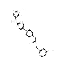 Cc1ccnc(CNC(=O)Cc2ccc(-c3cnc(Nc4cnn(C)c4)nc3)cc2)c1